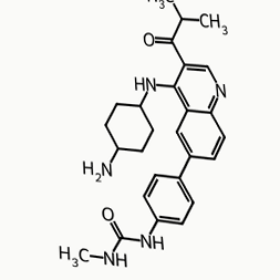 CNC(=O)Nc1ccc(-c2ccc3ncc(C(=O)C(C)C)c(NC4CCC(N)CC4)c3c2)cc1